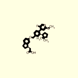 COc1cc(-c2ccc(COc3ccc4c(c3)[C@@H](CC(=O)O)CC4)cc2[C@H]2CCCC2(C)C)c(F)cn1